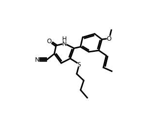 CC=Cc1cc(-c2[nH]c(=O)c(C#N)cc2SCCCC)ccc1OC